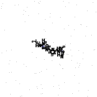 CCCCN/C(N)=N/c1nc(-c2cccc(CN/C(=N\C#N)NC)n2)co1